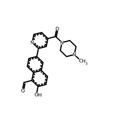 CN1CCN(C(=O)c2ccnc(-c3ccc4c(C=O)c(O)ccc4c3)c2)CC1